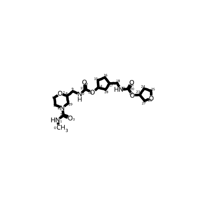 CNC(=O)N1CCOC(CNC(=O)OC2CCC(CNC(=O)OC3CCOC3)C2)C1